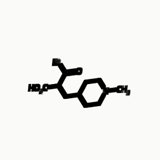 CCC(=O)C(CC1CCN(C)CC1)C(=O)O